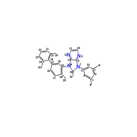 Cc1cc(C)cc(N2c3nccnc3N(c3cc(-c4c(C)cccc4C)ccc3C)C2C)c1